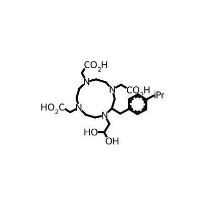 CC(C)c1ccc(CC2CN(CC(=O)O)CCN(CC(=O)O)CCN(CC(=O)O)CCN2CC(O)O)cc1